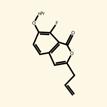 C=CCc1cc2ccc(OCCC)c(F)c2c(=O)o1